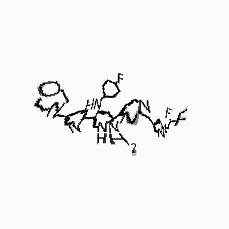 NC1(c2ccnc(-c3cnn(CC(F)F)c3)n2)C=C(NC2CCC(F)CC2)C(c2ccc(CN3CCOCC3)cn2)=CN1